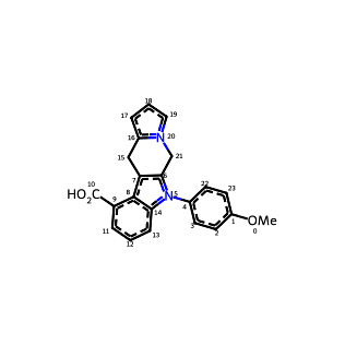 COc1ccc(-n2c3c(c4c(C(=O)O)cccc42)Cc2cccn2C3)cc1